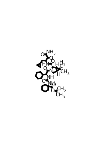 C=C(C)OC(=O)C1(NC(=O)N[C@H](C(=O)N2C[C@H]3[C@@H]([C@H]2C(=O)NC(CC2CC2)C(=O)C(N)=O)C3(C)C)C2CCCCC2)CCCCC1